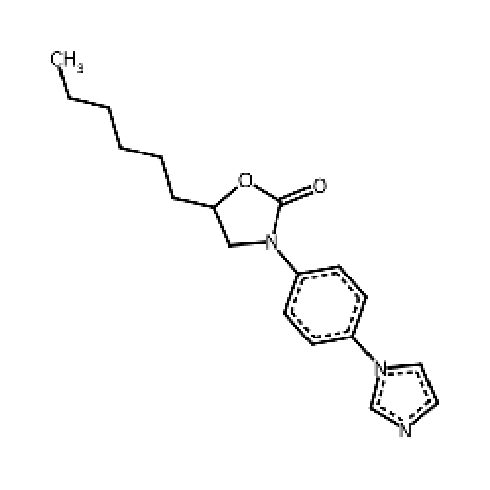 CCCCCCC1CN(c2ccc(-n3ccnc3)cc2)C(=O)O1